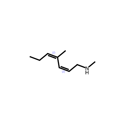 CC/C=C(C)\C=C/CNC